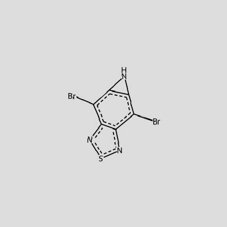 Brc1c2c(c(Br)c3nsnc13)N2